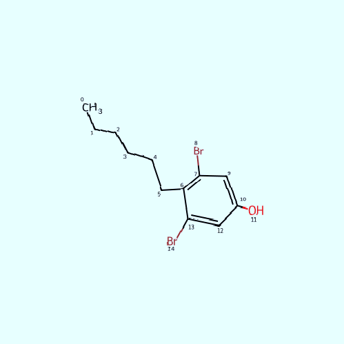 CCCCCCc1c(Br)cc(O)cc1Br